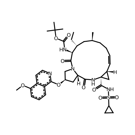 CC[C@@H]1C[C@@H](C)CC/C=C\[C@@H]2C[C@@]2(C(=O)NS(=O)(=O)C2CC2)NC(=O)[C@@H]2C[C@@H](Oc3nccc4c(OC)cccc34)CN2C(=O)[C@H]1NC(=O)OC(C)(C)C